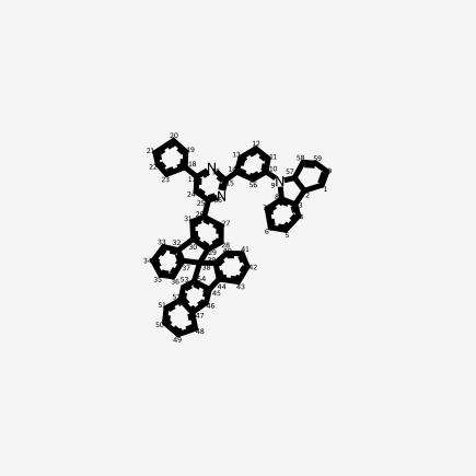 C1=CC2c3ccccc3N(c3cccc(-c4nc(-c5ccccc5)cc(-c5ccc6c(c5)-c5ccccc5C65c6ccccc6-c6cc7ccccc7cc65)n4)c3)C2C=C1